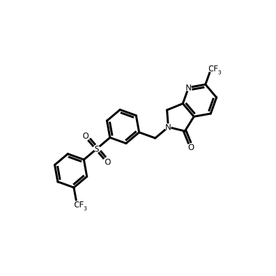 O=C1c2ccc(C(F)(F)F)nc2CN1Cc1cccc(S(=O)(=O)c2cccc(C(F)(F)F)c2)c1